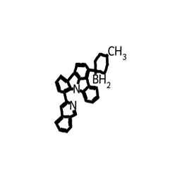 BC1(c2ccc3c4cccc(-c5cc6ccccc6cn5)c4n4c5ccccc5c2c34)CCC(C)CC1